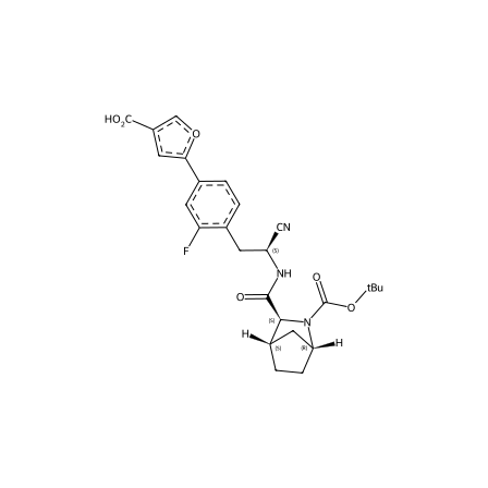 CC(C)(C)OC(=O)N1[C@@H]2CC[C@@H](C2)[C@H]1C(=O)N[C@H](C#N)Cc1ccc(-c2cc(C(=O)O)co2)cc1F